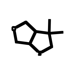 CC1(C)CSC2COCC21